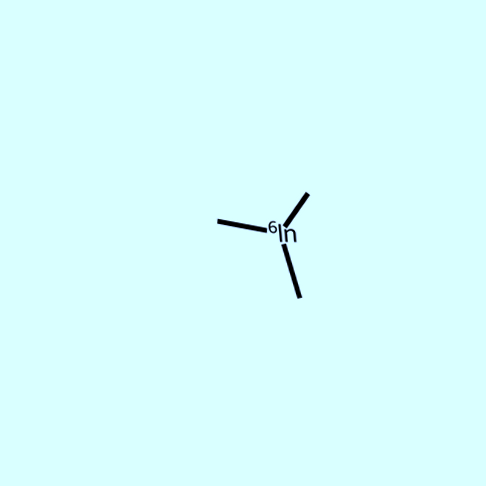 [CH3][6In]([CH3])[CH3]